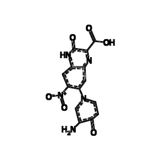 Nc1cn(-c2cc3nc(C(=O)O)c(=O)[nH]c3cc2[N+](=O)[O-])ccc1=O